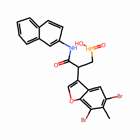 Cc1c(Br)cc2c(C(C[PH](=O)O)C(=O)Nc3ccc4ccccc4c3)coc2c1Br